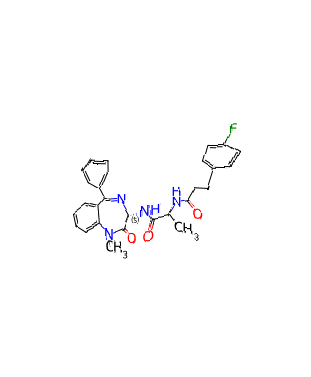 CC(NC(=O)CCc1ccc(F)cc1)C(=O)N[C@H]1N=C(c2ccccc2)c2ccccc2N(C)C1=O